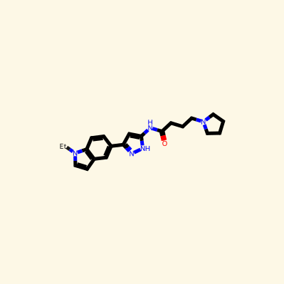 CCn1ccc2cc(-c3cc(NC(=O)CCCN4CCCC4)[nH]n3)ccc21